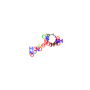 CNC(=O)[C@H]1CC[C@H](CN2C(=O)CC(SCCOCCC(=O)O[C@H]3CC(=O)N(C)c4cc(cc(C)c4Cl)C/C(C)=C/C=C/[C@@H](OC)[C@@]4(O)C[C@H](OC(=O)N4)[C@@H](C)[C@@H]4O[C@@]34C)C2=O)CC1